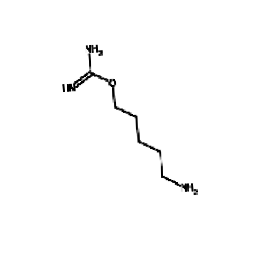 N=C(N)OCCCCCN